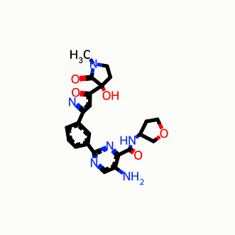 CN1CCC(O)(c2cc(-c3cccc(-c4ncc(N)c(C(=O)NC5CCOC5)n4)c3)no2)C1=O